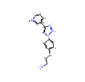 NCCCc1ccc(-n2cc(-c3cccnc3)nn2)cc1